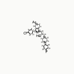 CC(=O)N1CCc2c(c(-c3ccc(Cl)cc3)nn2CC(O)CN2CCN(c3ccc(F)cc3)CC2)C1